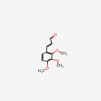 COc1ccc(C=C[C]=O)c(OC)c1OC